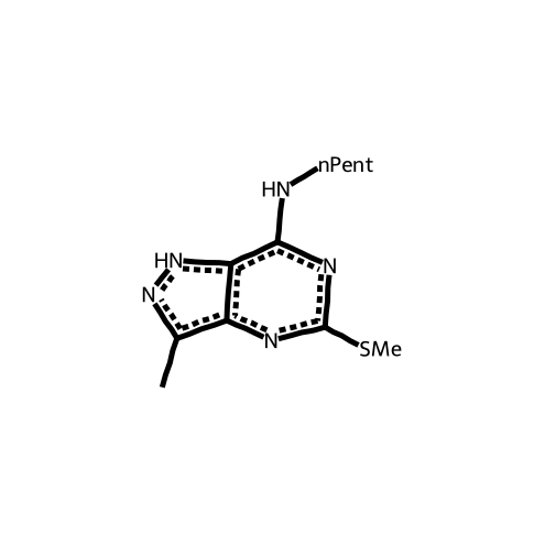 CCCCCNc1nc(SC)nc2c(C)n[nH]c12